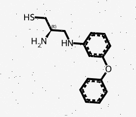 N[C@@H](CS)CNc1cccc(Oc2ccccc2)c1